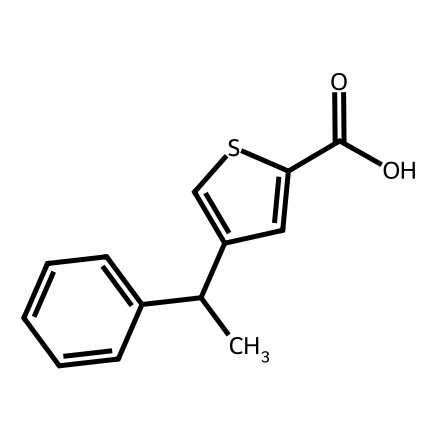 CC(c1ccccc1)c1csc(C(=O)O)c1